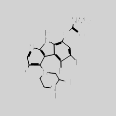 CNC(=O)Oc1cc(F)c(F)c2c1[nH]c1ncc(Cl)c(N3CCNC(C(F)(F)F)C3)c12